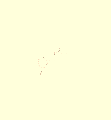 CC(NC(=O)OC(C)(C)C)c1cc(F)ccc1O